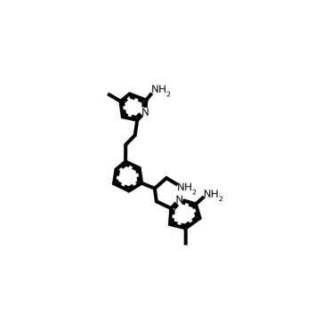 Cc1cc(N)nc(CCc2cccc(C(CN)Cc3cc(C)cc(N)n3)c2)c1